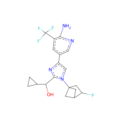 Nc1ncc(-c2cn(C34CC(F)C(C3)C4)c(C(O)C3CC3)n2)cc1C(F)(F)F